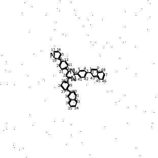 C1=CC(c2ccc(-c3nc(-c4ccc(-c5cccnc5)cc4)cc(-c4cccc(-c5ccc6ccccc6c5)c4)n3)cc2)Cc2ccccc21